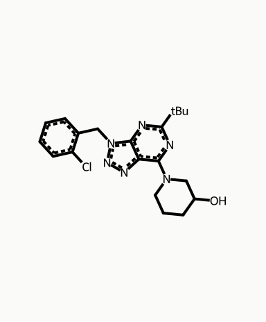 CC(C)(C)c1nc(N2CCCC(O)C2)c2nnn(Cc3ccccc3Cl)c2n1